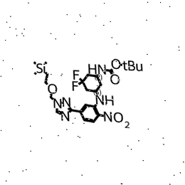 CC(C)(C)OC(=O)N[C@@H]1C[C@H](Nc2cc(-c3ncn(COCC[Si](C)(C)C)n3)ccc2[N+](=O)[O-])CC(F)(F)C1